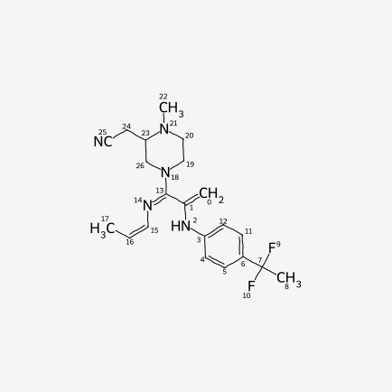 C=C(Nc1ccc(C(C)(F)F)cc1)/C(=N\C=C/C)N1CCN(C)C(CC#N)C1